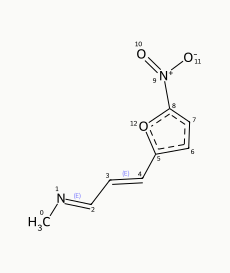 C/N=C/C=C/c1ccc([N+](=O)[O-])o1